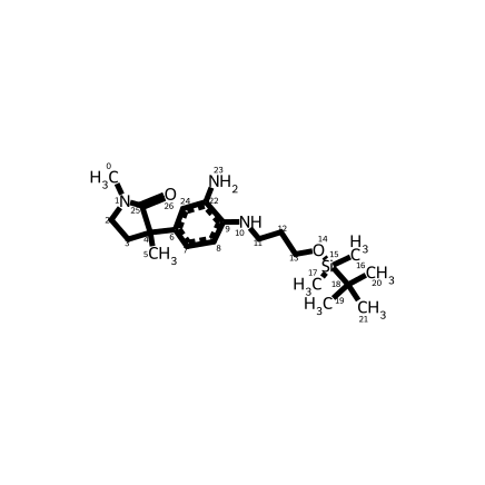 CN1CCC(C)(c2ccc(NCCCO[Si](C)(C)C(C)(C)C)c(N)c2)C1=O